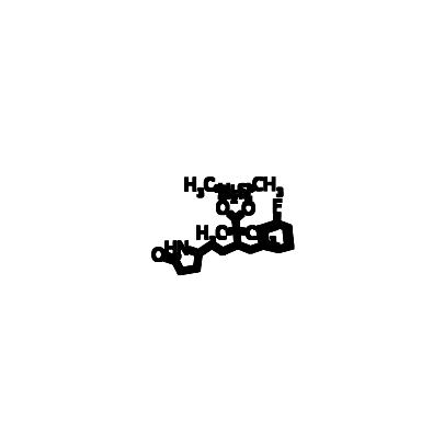 C[SiH2]OC(O[SiH2]C)C(C)(C)C(CCC1CCC(=O)N1)Cc1cccc(F)c1